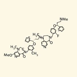 CNCC[C@H](Oc1ccc(CN2CCN(N(C)CC[C@H](Oc3ccc(CN4CCN(C)c5cc(OC)ncc5C4=O)c(C)c3)c3cccs3)c3ccncc3C2=O)c(F)c1)c1cccs1